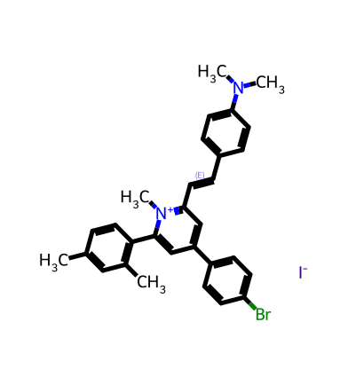 Cc1ccc(-c2cc(-c3ccc(Br)cc3)cc(/C=C/c3ccc(N(C)C)cc3)[n+]2C)c(C)c1.[I-]